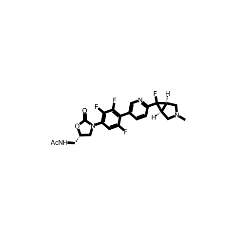 CC(=O)NC[C@H]1CN(c2cc(F)c(-c3ccc(C4(F)[C@@H]5CN(C)C[C@@H]54)nc3)c(F)c2F)C(=O)O1